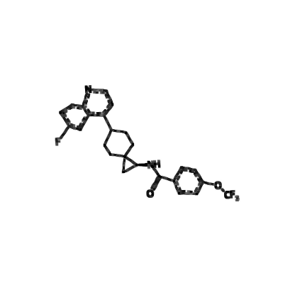 O=C(N[C@H]1CC12CCC(c1ccnc3ccc(F)cc13)CC2)c1ccc(OC(F)(F)F)cc1